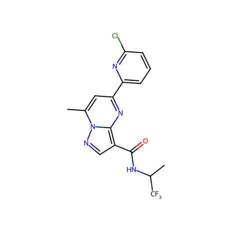 Cc1cc(-c2cccc(Cl)n2)nc2c(C(=O)NC(C)C(F)(F)F)cnn12